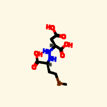 CSCC[C@H](NN[C@@H](CC(=O)O)C(=O)O)C(=O)O